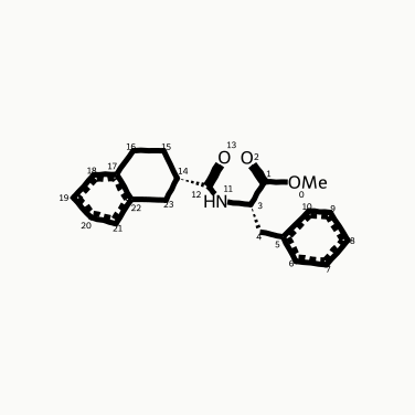 COC(=O)[C@H](Cc1ccccc1)NC(=O)[C@H]1CCc2ccccc2C1